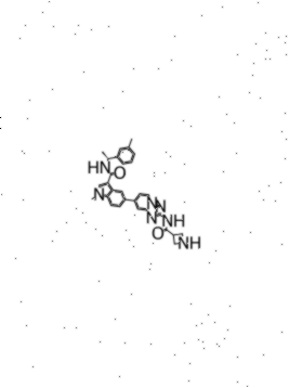 Cc1cccc([C@H](C)NC(=O)c2cn(C)c3ccc(-c4ccn5nc(NC(=O)C6CNC6)nc5c4)cc23)c1